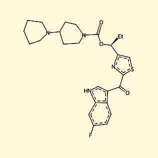 CC[C@H](OC(=O)N1CCC(N2CCCCC2)CC1)c1csc(C(=O)c2c[nH]c3cc(F)ccc23)n1